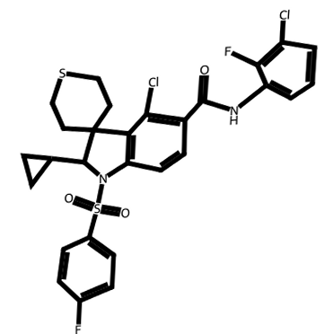 O=C(Nc1cccc(Cl)c1F)c1ccc2c(c1Cl)C1(CCSCC1)C(C1CC1)N2S(=O)(=O)c1ccc(F)cc1